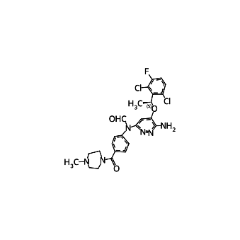 C[C@H](Oc1cc(N(C=O)c2ccc(C(=O)N3CCN(C)CC3)cc2)nnc1N)c1c(Cl)ccc(F)c1Cl